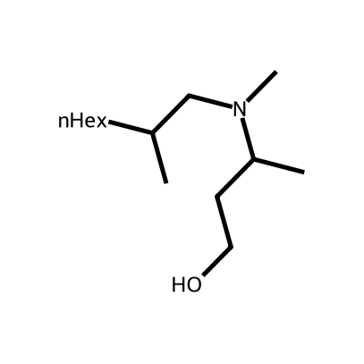 CCCCCCC(C)CN(C)C(C)CCO